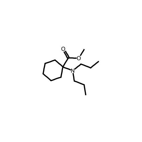 CCCN(CCC)C1(C(=O)OC)CCCCC1